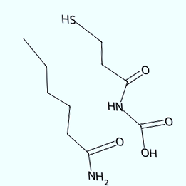 CCCCCC(N)=O.O=C(O)NC(=O)CCS